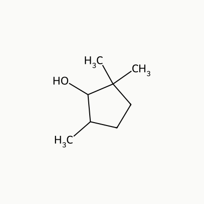 CC1CCC(C)(C)C1O